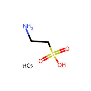 NCCS(=O)(=O)O.[CsH]